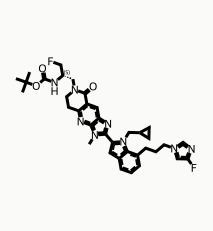 Cn1c(-c2cc3cccc(CCCn4cnc(F)c4)c3n2CC2CC2)nc2cc3c(nc21)CCN(C[C@@H](CF)NC(=O)OC(C)(C)C)C3=O